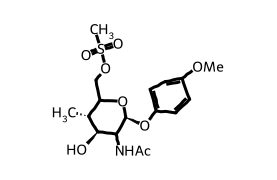 COc1ccc(O[C@@H]2OC(COS(C)(=O)=O)[C@@H](C)[C@H](O)C2NC(C)=O)cc1